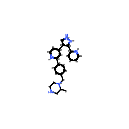 CC1CNCCN1Cc1ccc(-c2cc(-c3c[nH]nc3-c3ccccn3)ccn2)cc1